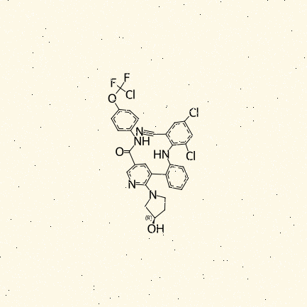 N#Cc1cc(Cl)cc(Cl)c1Nc1ccccc1-c1cc(C(=O)Nc2ccc(OC(F)(F)Cl)cc2)cnc1N1CC[C@@H](O)C1